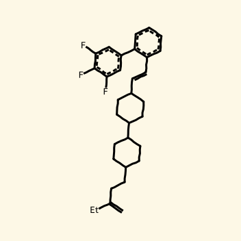 C=C(CC)CCC1CCC(C2CCC(C=Cc3ccccc3-c3cc(F)c(F)c(F)c3)CC2)CC1